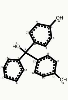 Oc1ccc(C(O)(c2ccccc2)c2ccc(O)cc2)cc1